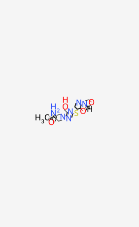 C[C@@H]1OCC2(CCN(c3ncc(Sc4ccnc5c4OC[C@H]4COCCN54)nc3CO)CC2)[C@@H]1N